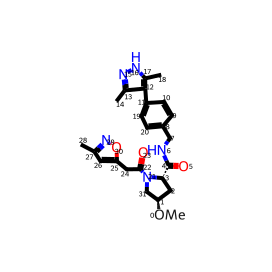 CO[C@@H]1C[C@@H](C(=O)NCc2ccc(-c3c(C)n[nH]c3C)cc2)N(C(=O)Cc2cc(C)no2)C1